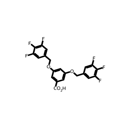 O=C(O)c1cc(OCc2cc(F)c(F)c(F)c2)cc(OCc2cc(F)c(F)c(F)c2)c1